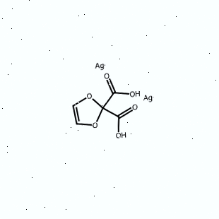 O=C(O)C1(C(=O)O)OC=CO1.[Ag].[Ag]